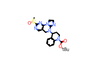 C[S+]([O-])c1ncc2c(n1)-n1ccnc1N(C1CCN(C(=O)OC(C)(C)C)c3ccccc31)C2